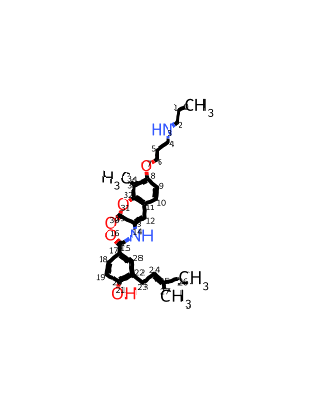 CCCNCCCOc1ccc2cc(NC(=O)c3ccc(O)c(CC=C(C)C)c3)c(=O)oc2c1C